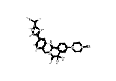 CCN1CCN(c2ccc3c(c2)C(CC)(CC)C(=O)N(Cc2ccc(-c4nnc(C(F)F)o4)cn2)C3=O)CC1